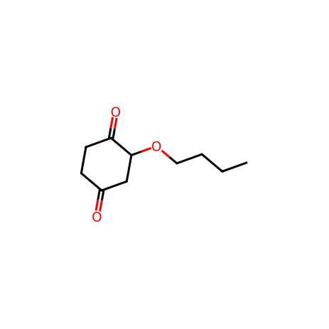 CCCCOC1CC(=O)CCC1=O